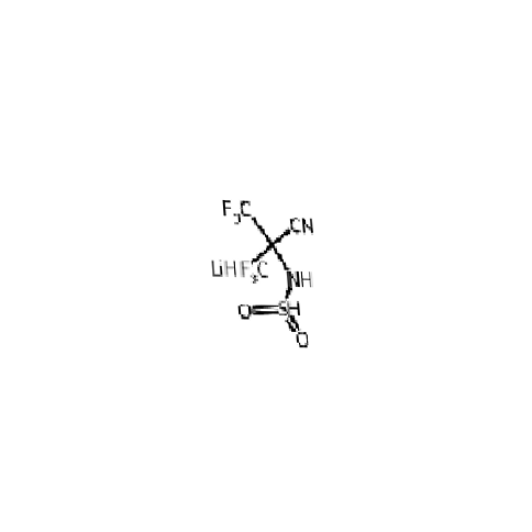 N#CC(N[SH](=O)=O)(C(F)(F)F)C(F)(F)F.[LiH]